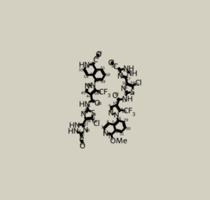 COc1nccc2c(-n3ncc(C(=O)Nc4nc(C5=NC(=C=O)NN5)c(Cl)s4)c3C(F)(F)F)cccc12.O=C=C1N=C(c2nc(NC(=O)c3cnn(-c4cccc5c4C=CNC5=C=O)c3C(F)(F)F)sc2Cl)NN1